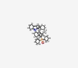 CC1(C)c2ccccc2C2(c3ccccc3-n3c4ccccc4c4cccc2c43)c2ccc(P(=O)(c3ccccc3)c3ccccc3)cc21